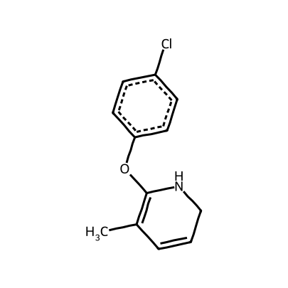 CC1=C(Oc2ccc(Cl)cc2)NCC=C1